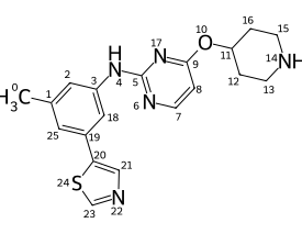 Cc1cc(Nc2nccc(OC3CCNCC3)n2)cc(-c2cncs2)c1